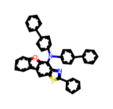 c1ccc(-c2ccc(N(c3ccc(-c4ccccc4)cc3)c3c4nc(-c5ccccc5)sc4cc4c3oc3ccccc34)cc2)cc1